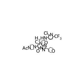 CC(=O)N1CCN(c2c(C)n(CC(=O)Nc3ccc(C(F)(F)F)nc3Cl)c3nc(C4=CCOCC4)nn3c2=O)CC1